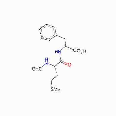 CSCCC(NC=O)C(=O)NC(Cc1ccccc1)C(=O)O